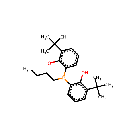 CCCCP(c1cccc(C(C)(C)C)c1O)c1cccc(C(C)(C)C)c1O